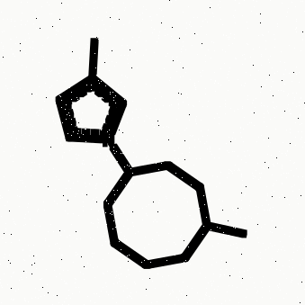 Cc1ccn(C2CCCCC(C)CC2)c1